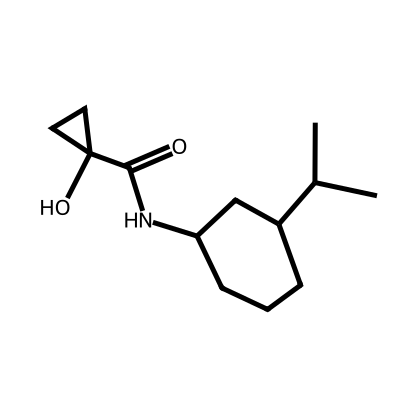 CC(C)C1CCCC(NC(=O)C2(O)CC2)C1